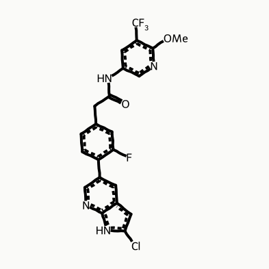 COc1ncc(NC(=O)Cc2ccc(-c3cnc4[nH]c(Cl)cc4c3)c(F)c2)cc1C(F)(F)F